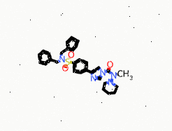 CN(C(=O)n1cnc(-c2ccc(S(=O)(=O)N(Cc3ccccc3)Cc3ccccc3)cc2)c1)N1CCCCC1